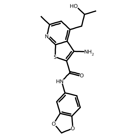 Cc1cc(CC(C)O)c2c(N)c(C(=O)Nc3ccc4c(c3)OCO4)sc2n1